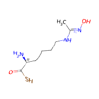 C/C(=N\O)NCCCC[C@H](N)C(=O)S